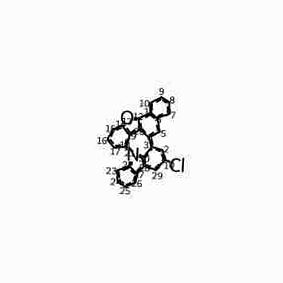 Clc1cc2c3cc4ccccc4c4oc5cccc(c5c34)n3c4ccccc4c(c1)c23